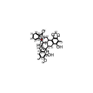 COc1c(C)cc2c(c1O)[C@@H]1C3Cc4c(O)c(C)c5c(c4C(CN4C(=O)c6ccccc6C4=O)N3[C@@H](C#N)[C@H](C2)N1C)OCO5